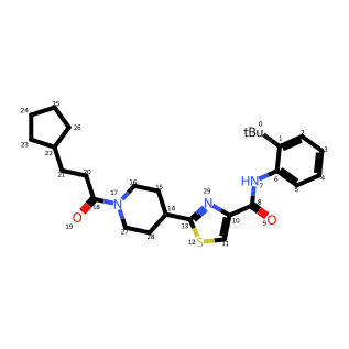 CC(C)(C)c1ccccc1NC(=O)c1csc(C2CCN(C(=O)CCC3CCCC3)CC2)n1